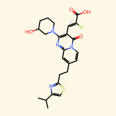 CC(C)c1csc(CCc2ccn3c(=O)c(/C=C(\F)C(=O)O)c(N4CCCC(O)C4)nc3c2)n1